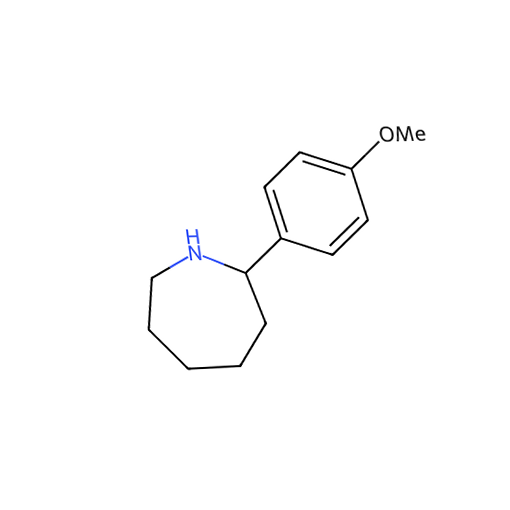 COc1ccc(C2CCCCCN2)cc1